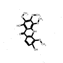 COc1c(OC)c(O)c2c(=O)c3ccc(O)c(OC)c3[nH]c2c1OC